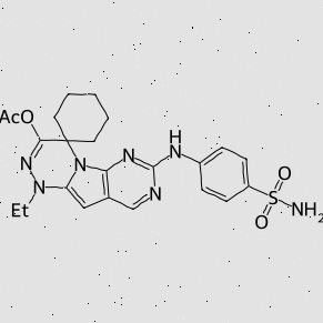 CCN1N=C(OC(C)=O)C2(CCCCC2)n2c1cc1cnc(Nc3ccc(S(N)(=O)=O)cc3)nc12